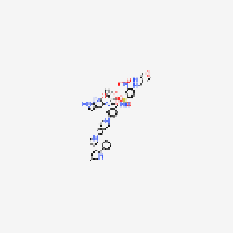 Cc1ccc(-c2ccccc2[C@@H]2CCCN2C2CC3(CCN(c4ccc(C(=O)NS(=O)(=O)c5ccc(NCC6CCOCC6)c([N+](=O)[O-])c5)c(N5c6cc7cc[nH]c7nc6O[C@@H]6COC[C@H]65)c4)CC3)C2)nc1